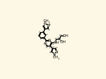 Cn1cc(-c2cccc(-c3ncc(-c4cnn(C)c4)c(NC[C@@H](O)CO)n3)c2)cn1